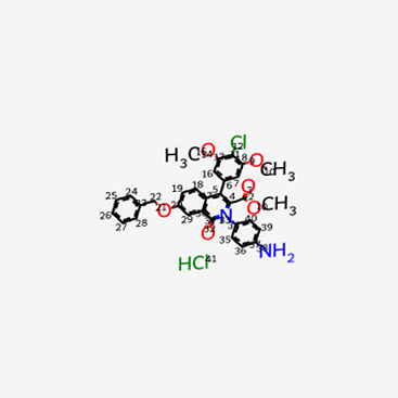 COC(=O)c1c(-c2cc(OC)c(Cl)c(OC)c2)c2ccc(OCc3ccccc3)cc2c(=O)n1-c1ccc(N)cc1.Cl